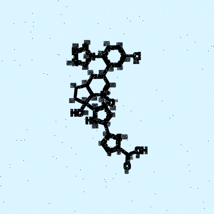 O=C(O)c1ccc(-c2cnc(C3(O)CCC4C=C(c5cc(Cl)ccc5-n5cnnn5)C=[N+]([O-])C43)[nH]2)s1